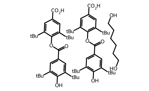 CC(C)(C)c1cc(C(=O)Oc2c(C(C)(C)C)cc(C(=O)O)cc2C(C)(C)C)cc(C(C)(C)C)c1O.CC(C)(C)c1cc(C(=O)Oc2c(C(C)(C)C)cc(C(=O)O)cc2C(C)(C)C)cc(C(C)(C)C)c1O.OCCCCCCO